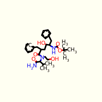 CC(C)C(C(N)=O)N(CCO)C(=O)C(Cc1ccccc1)CC(O)C(Cc1ccccc1)NC(=O)OC(C)(C)C